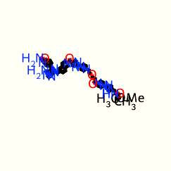 COC(C)(C)C(=O)NCc1cnc(N2CCN(C(=O)CCOCCN3CCN(c4ncc(C(=O)N5CCc6cc(Cn7nc(-c8ccc9oc(N)nc9c8)c8c(N)ncnc87)ccc6C5)cn4)CC3)CC2)nc1